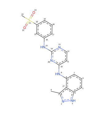 Cc1n[nH]c2cccc(Nc3ccnc(Nc4cccc(S(C)(=O)=O)c4)n3)c12